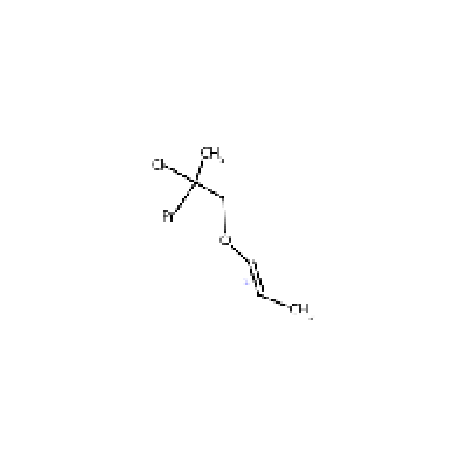 C/C=C/OCC(C)(Cl)C(C)C